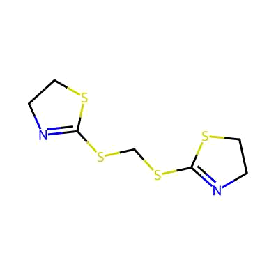 C1CSC(SCSC2=NCCS2)=N1